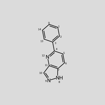 c1ccc(-c2ccc3[nH]ncc3n2)cc1